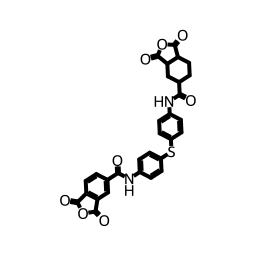 O=C(Nc1ccc(Sc2ccc(NC(=O)C3CCC4C(=O)OC(=O)C4C3)cc2)cc1)c1ccc2c(c1)C(=O)OC2=O